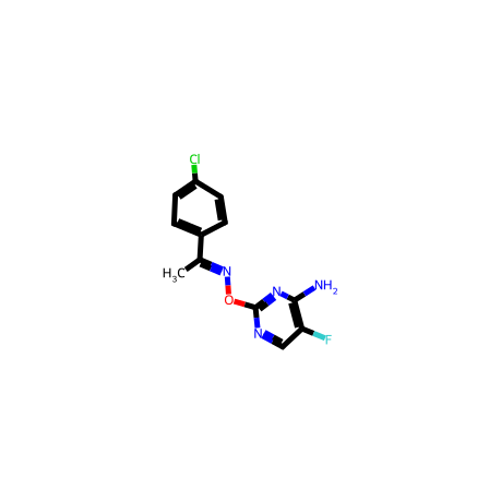 C/C(=N\Oc1ncc(F)c(N)n1)c1ccc(Cl)cc1